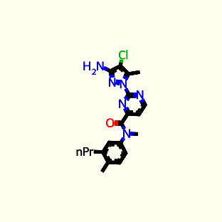 CCCc1cc(N(C)C(=O)c2ccnc(-n3nc(N)c(Cl)c3C)n2)ccc1C